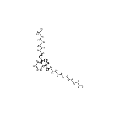 CCCCCCCCCCCCCOC(=O)c1ccccc1C(=O)OCCCCCCCC(C)C